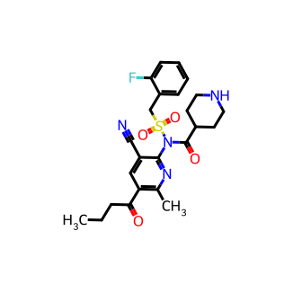 CCCC(=O)c1cc(C#N)c(N(C(=O)C2CCNCC2)S(=O)(=O)Cc2ccccc2F)nc1C